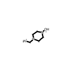 CC(C)CN1CCN(O)CC1